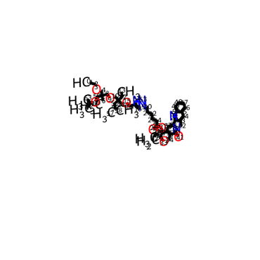 C#CCOCC(CC)(COCC(CC)(COCc1cn(CCCCCC(=O)O[C@]2(CC)C(=C)OCc3c2cc2n(c3=O)Cc3cc4ccccc4nc3-2)nn1)CC(C)C)COC(C)C